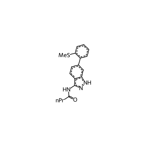 CCCC(=O)Nc1n[nH]c2cc(-c3ccccc3SC)ccc12